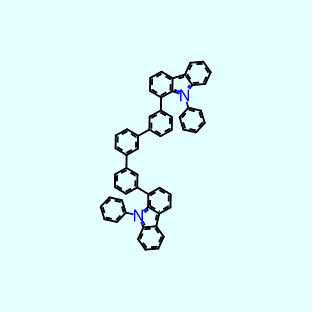 c1ccc(-n2c3ccccc3c3cccc(-c4cccc(-c5cccc(-c6cccc(-c7cccc8c9ccccc9n(-c9ccccc9)c78)c6)c5)c4)c32)cc1